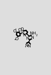 COc1cc(OC)c(Cl)c(-n2nc(-c3nc(-c4cnn(C)c4)cnc3N)ccc2=O)c1